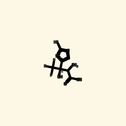 CC(C(=O)O)[C@@](O)(c1cnc(S)s1)C(F)(F)F